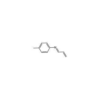 C=C/C=N/c1ccc(C)cc1